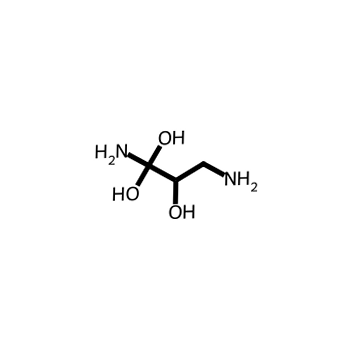 NCC(O)C(N)(O)O